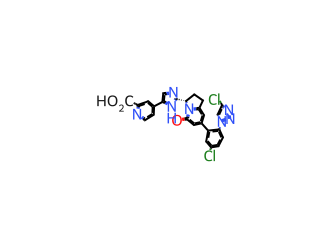 O=C(O)c1cc(-c2cnc([C@@H]3CCc4cc(-c5cc(Cl)ccc5-n5cc(Cl)nn5)cc(=O)n43)[nH]2)ccn1